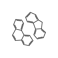 c1ccc2c(c1)Cc1ccccc1-2.c1ccc2c(c1)ccc1ccccc12